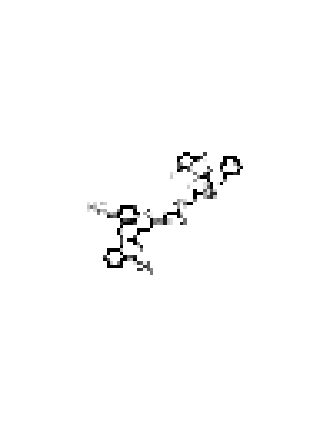 C=Cc1ccccc1N(Cc1ccccc1CC)C(=O)CCC(=O)NCC(=O)NCC(=O)N[C@@H](Cc1ccccc1)C(=O)ON1C(=O)CCC1=O